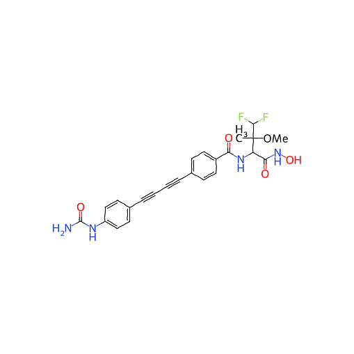 COC(C)(C(F)F)C(NC(=O)c1ccc(C#CC#Cc2ccc(NC(N)=O)cc2)cc1)C(=O)NO